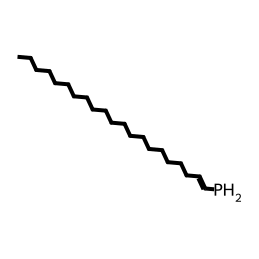 CCCCCCCCCCCCCCCCCCCC=CP